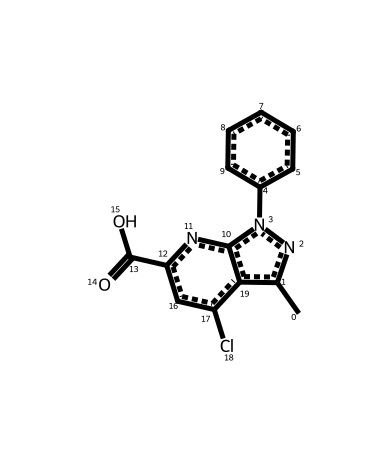 Cc1nn(-c2ccccc2)c2nc(C(=O)O)cc(Cl)c12